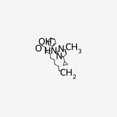 C=CCCCCCCCC(=O)O.Cc1cc(C2CC2)nc(Nc2ccccc2)n1